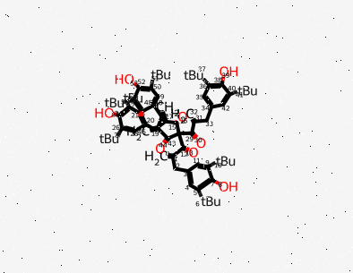 C=C(Cc1cc(C(C)(C)C)c(O)c(C(C)(C)C)c1)C(=O)C(C(=O)C(=C)Cc1cc(C(C)(C)C)c(O)c(C(C)(C)C)c1)(C(=O)C(=C)Cc1cc(C(C)(C)C)c(O)c(C(C)(C)C)c1)C(=O)C(=C)Cc1cc(C(C)(C)C)c(O)c(C(C)(C)C)c1